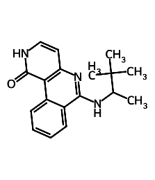 CC(Nc1nc2cc[nH]c(=O)c2c2ccccc12)C(C)(C)C